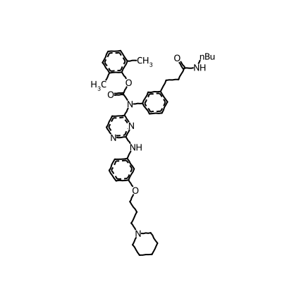 CCCCNC(=O)CCc1cccc(N(C(=O)Oc2c(C)cccc2C)c2ccnc(Nc3cccc(OCCCN4CCCCC4)c3)n2)c1